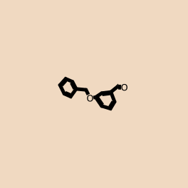 O=[C]c1cccc(OCc2ccccc2)c1